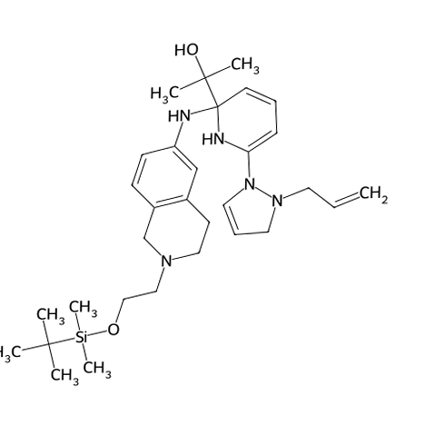 C=CCN1CC=CN1C1=CC=CC(Nc2ccc3c(c2)CCN(CCO[Si](C)(C)C(C)(C)C)C3)(C(C)(C)O)N1